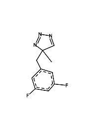 CC1(Cc2cc(F)cc(F)c2)C=NN=N1